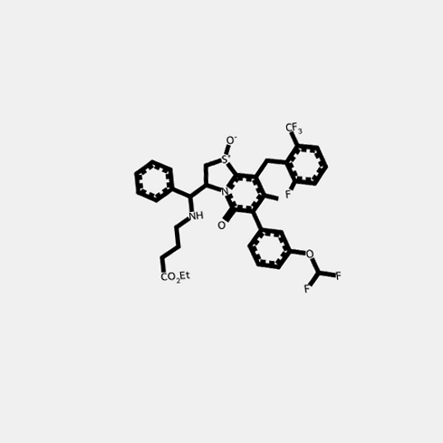 CCOC(=O)CCCNC(c1ccccc1)C1C[S+]([O-])c2c(Cc3c(F)cccc3C(F)(F)F)c(C)c(-c3cccc(OC(F)F)c3)c(=O)n21